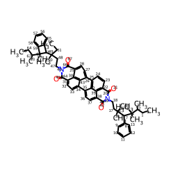 CCC(C)C(C)(C)C(c1ccccc1)C(C)(C)CCN1C(=O)c2ccc3c4ccc5c6c(ccc(c7ccc(c2c37)C1=O)c64)C(=O)N(CCC(C)(CC)C1c2ccccc2C1(C)C(C)CC)C5=O